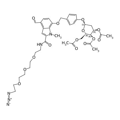 CC(=O)OC[C@H]1O[C@@H](Oc2ccc(COc3ccc(C=O)c4cc(C(=O)NCCOCCOCCOCCN=[N+]=[N-])n(C)c34)cc2)C[C@@H](OC(C)=O)[C@H]1OC(C)=O